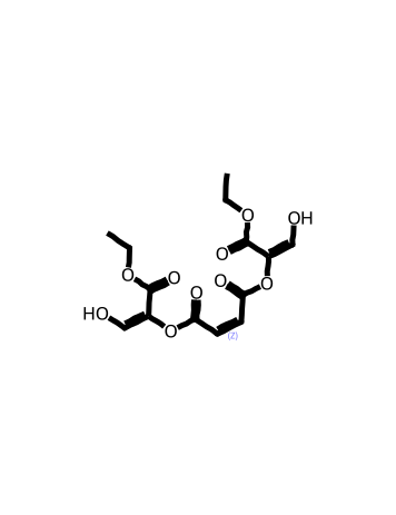 CCOC(=O)C(=CO)OC(=O)/C=C\C(=O)OC(=CO)C(=O)OCC